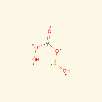 O=C(OO)OSO